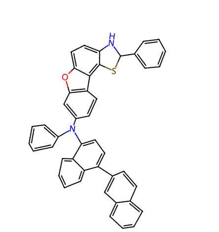 c1ccc(C2Nc3ccc4oc5cc(N(c6ccccc6)c6ccc(-c7ccc8ccccc8c7)c7ccccc67)ccc5c4c3S2)cc1